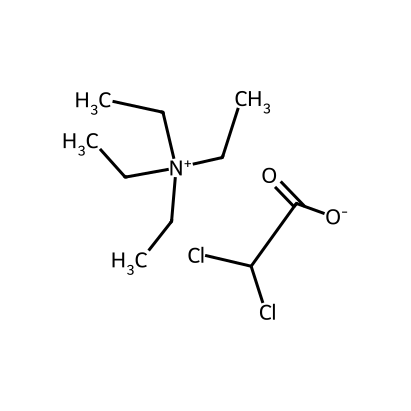 CC[N+](CC)(CC)CC.O=C([O-])C(Cl)Cl